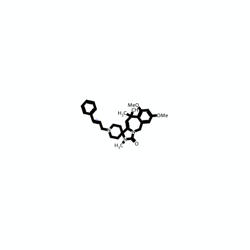 COc1cc2c(c(OC)c1)C(C)(C)C=C1N(C2)C(=O)N(C)C12CCN(C/C=C/c1ccccc1)CC2